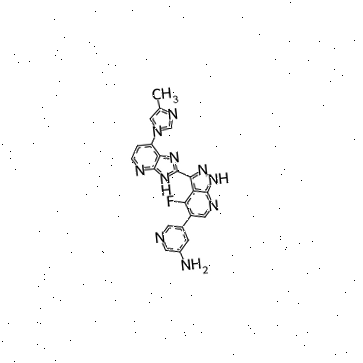 Cc1cn(-c2ccnc3[nH]c(-c4n[nH]c5ncc(-c6cncc(N)c6)c(F)c45)nc23)cn1